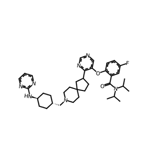 CC(C)N(C(=O)c1cc(F)ccc1Oc1cncnc1C1CCC2(CCN(C[C@H]3CC[C@H](Nc4ncccn4)CC3)CC2)C1)C(C)C